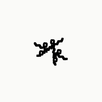 CCCCC(=O)N(CCN(COCC)C(=O)CCCC)CCN(COCC)C(=O)CCCC